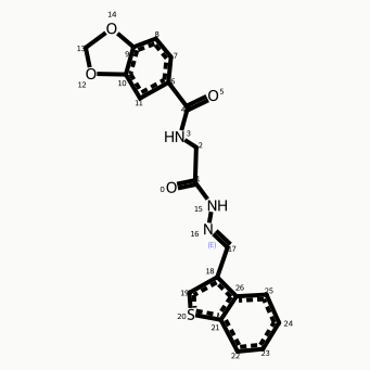 O=C(CNC(=O)c1ccc2c(c1)OCO2)N/N=C/c1csc2ccccc12